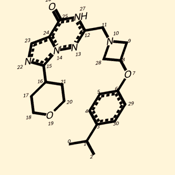 CC(C)c1ccc(OC2CN(Cc3nn4c(C5CCOCC5)ncc4c(=O)[nH]3)C2)cc1